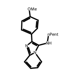 CCCCCNc1c(-c2ccc(OC)cc2)nc2ccccn12